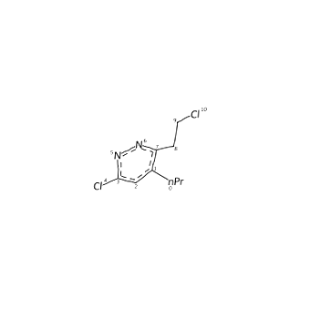 CCCc1cc(Cl)nnc1CCCl